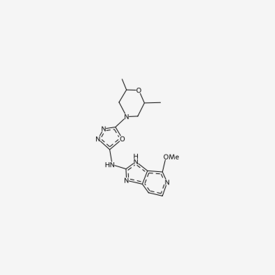 COc1nccc2nc(Nc3nnc(N4CC(C)OC(C)C4)o3)[nH]c12